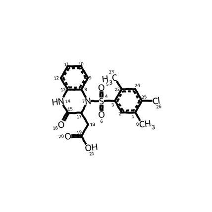 Cc1cc(S(=O)(=O)N2c3ccccc3NC(=O)C2CC(=O)O)c(C)cc1Cl